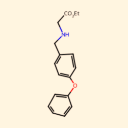 CCOC(=O)CNCc1ccc(Oc2ccccc2)cc1